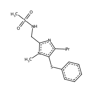 CC(C)c1nc(CNS(C)(=O)=O)n(C)c1Sc1ccccc1